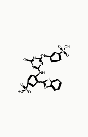 O=S(=O)(O)c1cccc(Nc2nc(Cl)nc(Nc3ccc(S(=O)(=O)O)cc3-c3nc4ccccc4o3)n2)c1